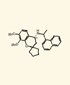 COc1ccc2c(c1OC)OC1(CCCC1)C[C@H]2NC(C)c1cccc2ccccc12